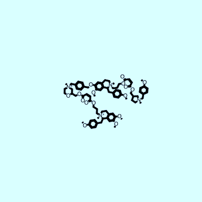 COc1ccc(CC2c3cc(OC)c(OC)cc3CC[N+]2(C)CCCOC(=O)/C=C\C(=O)OCC2C[N+](C)(Cc3ccc(COc4cc5c(cc4OC)C(Cc4ccc(OC)cc4)[N+](C)(CCCOC(=O)/C=C\C(=O)OCC4CC[N+](C)(Cc6ccc(OC)cc6)C4)CC5)cc3)CCO2)cc1